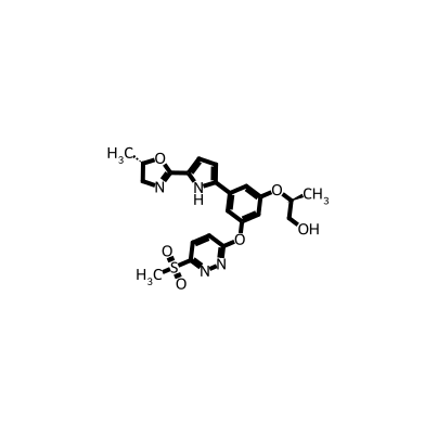 C[C@H]1CN=C(c2ccc(-c3cc(Oc4ccc(S(C)(=O)=O)nn4)cc(O[C@@H](C)CO)c3)[nH]2)O1